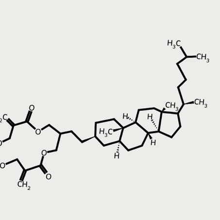 C=C(CO)C(=O)OCC(CC[C@H]1CC[C@@]2(C)[C@@H](CC[C@@H]3[C@@H]2CC[C@]2(C)C([C@H](C)CCCC(C)C)CC[C@@H]32)C1)COC(=O)C(=C)CO